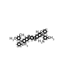 Cc1cc(C)cc(N(c2ccc3cc4c(cc3c2)oc2cc3c(cc24)oc2cc4cc(N(c5cc(C)cc(C)c5)c5ccccc5C)ccc4cc23)c2ccccc2C)c1